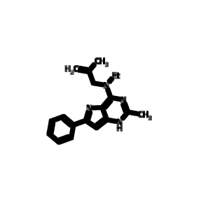 C=C(C)CN(CC)c1nc(C)[nH]c2cc(-c3ccccc3)nc1-2